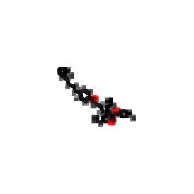 CCCCCCc1ccc(OCCCC(C)(C)C(=O)OC)cc1